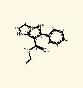 CCOC(=O)c1c(-c2ccccc2)nn2c1NCC2